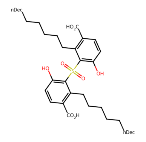 CCCCCCCCCCCCCCCc1c(C(=O)O)ccc(O)c1S(=O)(=O)c1c(O)ccc(C(=O)O)c1CCCCCCCCCCCCCCC